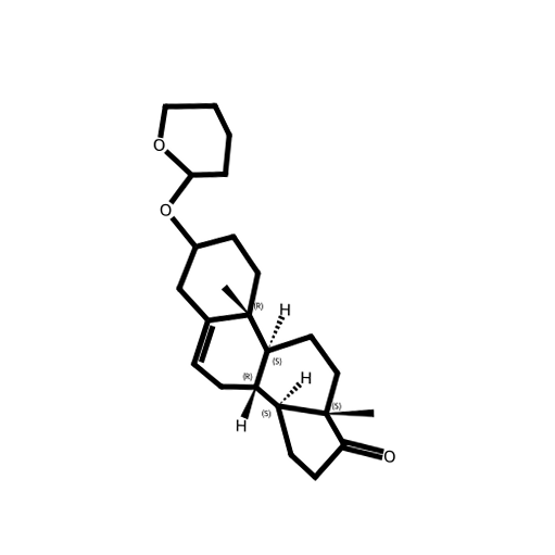 C[C@]12CCC(OC3CCCCO3)CC1=CC[C@@H]1[C@@H]2CC[C@]2(C)C(=O)CC[C@@H]12